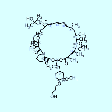 C=C1[C@H](C)C[C@H](C)/C=C/C=C/C=C(\C)C(OCC(C)(C)O)C[C@@H]2CC[C@@H](C)[C@@](O)(O2)C(=O)C(=O)N2CCCC[C@H]2C(=O)O[C@H]([C@@H](C)C[C@@H]2CC[C@@H](OCCCO)[C@H](OC)C2)CC(=O)[C@H](C)/C=C(\C)[C@@H](O)[C@H]1OC